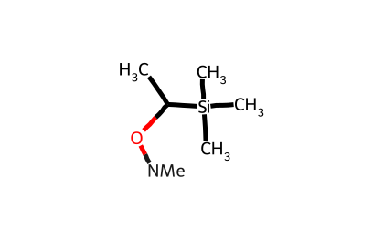 CNOC(C)[Si](C)(C)C